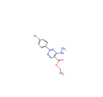 CCOC(=O)c1cnc(-c2ccc(Br)cc2)nc1NC